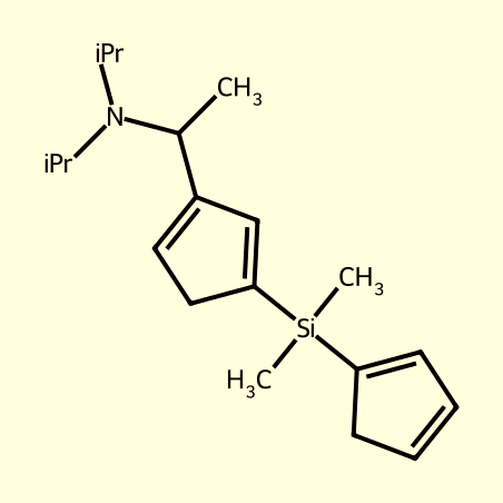 CC(C)N(C(C)C)C(C)C1=CCC([Si](C)(C)C2=CC=CC2)=C1